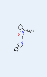 CSC1c2ccccc2C(=O)N1CCCN1CC=C(c2ccccc2)CC1